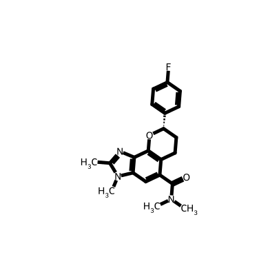 Cc1nc2c3c(c(C(=O)N(C)C)cc2n1C)CC[C@@H](c1ccc(F)cc1)O3